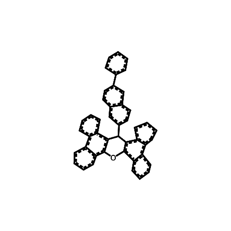 c1ccc(-c2ccc3cc(C4c5c(c6ccccc6c6ccccc56)Oc5c4c4ccccc4c4ccccc54)ccc3c2)cc1